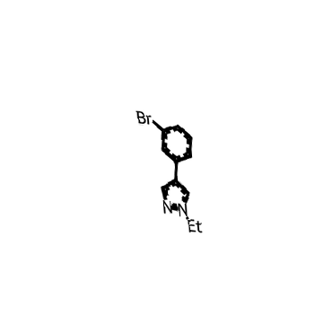 CCn1cc(-c2cccc(Br)c2)cn1